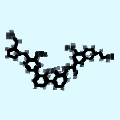 COc1nc(-c2cccc(C3=CCCC(NC(=O)c4cc(C)c5c(n4)CN(CCO)CC5)=C3Cl)c2Cl)cnc1CN1CCCC1CO